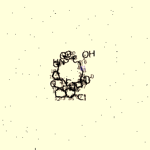 CO[C@H]1/C=C/[C@@H](CO)C[C@@H](C)S(=O)(=O)NC(=O)c2ccc3c(c2)N(C[C@@H]2CC[C@H]21)C[C@@]1(CCCc2cc(Cl)ccc21)CO3